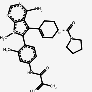 C=C(C)C(=O)Nc1ccc(-c2c(C3=CC[C@@H](C(=O)N4CCCC4)CC3)c3c(N)ncnc3n2C)c(C)c1